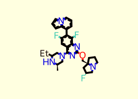 CCC1CN(c2nc(OC[C@@]34CCCN3C[C@H](F)C4)nc3c(F)c(-c4cccn5cccc45)c(F)cc23)C[C@@H](C)N1